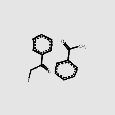 CC(=O)c1ccccc1.O=C(CI)c1ccccc1